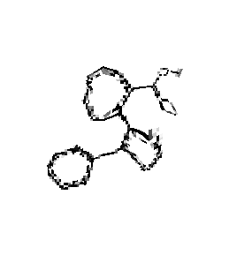 O=C(O)c1ccccc1-c1sccc1-c1ccccc1